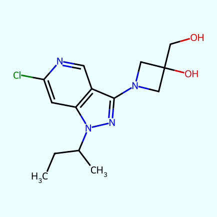 CCC(C)n1nc(N2CC(O)(CO)C2)c2cnc(Cl)cc21